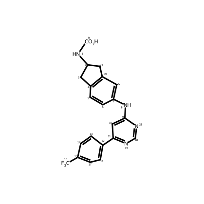 O=C(O)NC1Cc2ccc(Nc3cc(-c4ccc(C(F)(F)F)cc4)ncn3)cc2C1